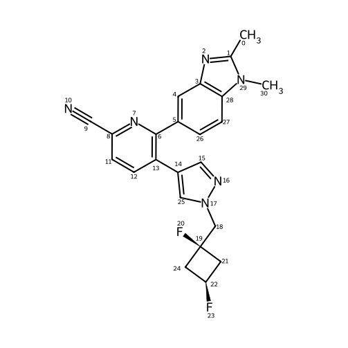 Cc1nc2cc(-c3nc(C#N)ccc3-c3cnn(C[C@]4(F)C[C@@H](F)C4)c3)ccc2n1C